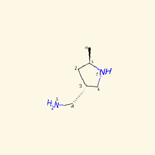 C[C@@H]1C[C@@H](CN)CN1